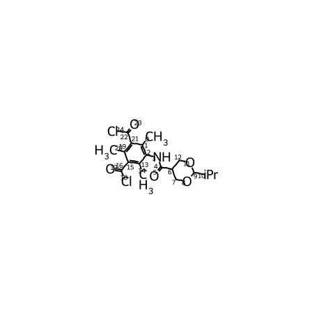 Cc1c(NC(=O)C2COC(C(C)C)OC2)c(C)c(C(=O)Cl)c(C)c1C(=O)Cl